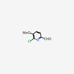 COc1ccc(C=O)nc1Cl